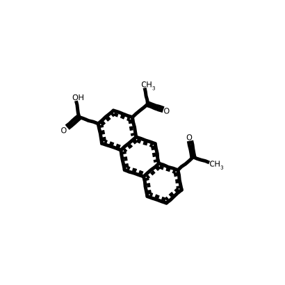 CC(=O)c1cccc2cc3cc(C(=O)O)cc(C(C)=O)c3cc12